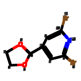 Brc1cc(C2OCCO2)cc(Br)n1